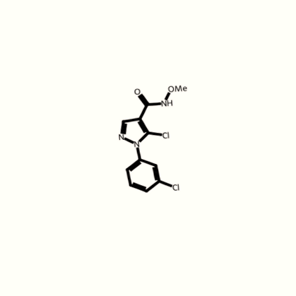 CONC(=O)c1cnn(-c2cccc(Cl)c2)c1Cl